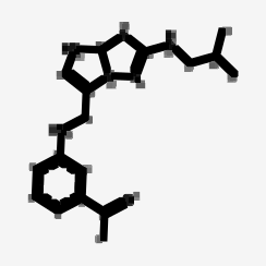 CC(=O)c1cccc(NCC2=CNC3SC(NCC(C)C)=NN23)c1